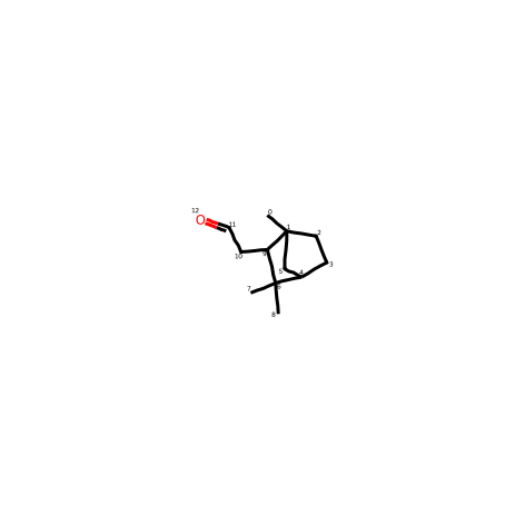 CC12CCC(C1)C(C)(C)C2CC=O